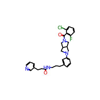 O=C(CCc1cccnc1)NCCCc1cccc(N2CC3CN(C(=O)c4c(F)cccc4Cl)CC3C2)c1